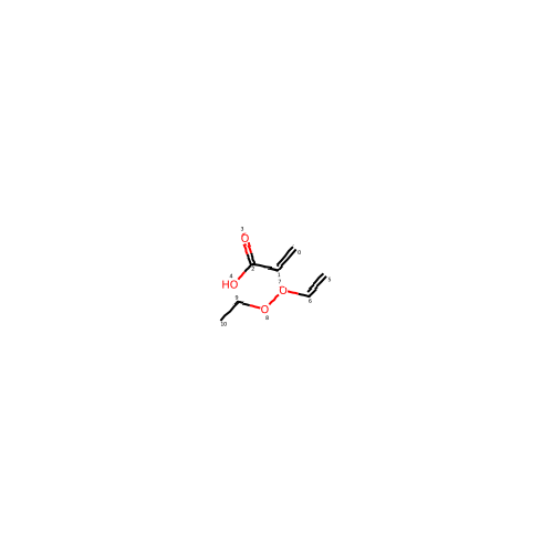 C=CC(=O)O.C=COOCC